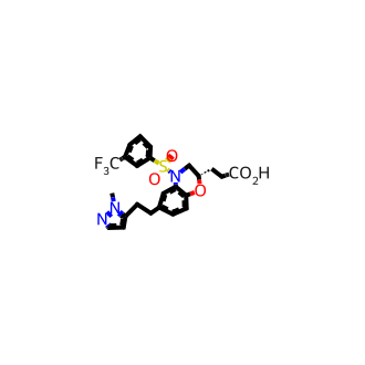 Cn1nccc1CCc1ccc2c(c1)N(S(=O)(=O)c1cccc(C(F)(F)F)c1)C[C@H](CCC(=O)O)O2